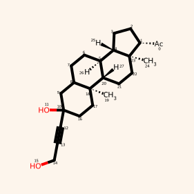 CC(=O)[C@H]1CC[C@H]2[C@@H]3CCC4CC(O)(C#CCO)CC[C@]4(C)[C@H]3CC[C@]12C